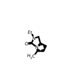 CCN1Cc2ccc(C)n2C1=O